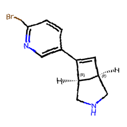 Brc1ccc(C2=C[C@H]3CNC[C@@H]23)cn1